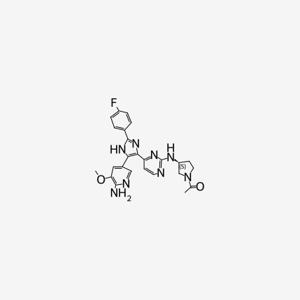 COc1cc(-c2[nH]c(-c3ccc(F)cc3)nc2-c2ccnc(N[C@H]3CCN(C(C)=O)C3)n2)cnc1N